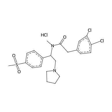 CN(C(=O)Cc1ccc(Cl)c(Cl)c1)C(CN1CCCC1)c1ccc(S(C)(=O)=O)cc1.Cl